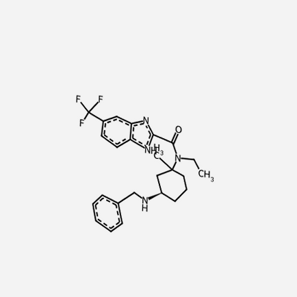 CCN(C(=O)c1nc2cc(C(F)(F)F)ccc2[nH]1)C1(C)CCC[C@@H](NCc2ccccc2)C1